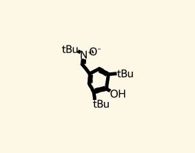 CC(C)(C)c1cc(C=[N+]([O-])C(C)(C)C)cc(C(C)(C)C)c1O